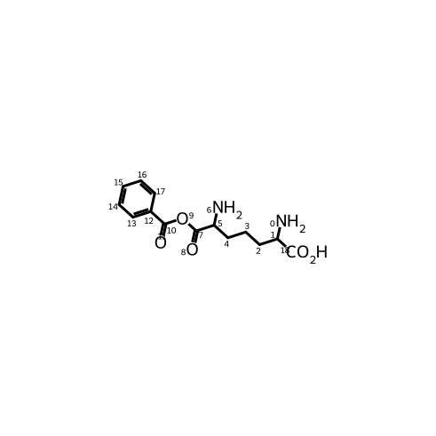 NC(CCCC(N)C(=O)OC(=O)c1ccccc1)C(=O)O